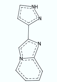 c1ccn2cc(-c3cc[nH]n3)nc2c1